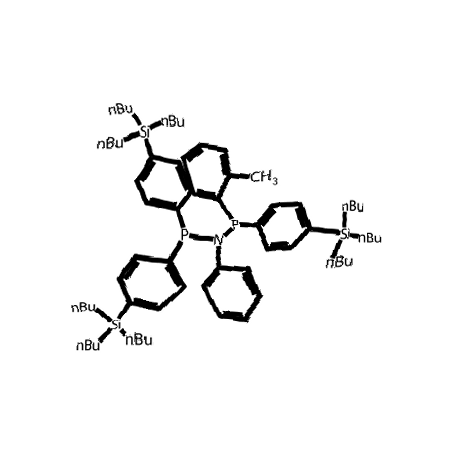 CCCC[Si](CCCC)(CCCC)c1ccc(P(c2ccc([Si](CCCC)(CCCC)CCCC)cc2)N(c2ccccc2)P(c2ccc([Si](CCCC)(CCCC)CCCC)cc2)c2ccccc2C)cc1